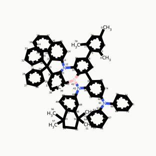 Cc1cc(C)c(-c2cc3c4c(c2)N2c5ccc6ccccc6c5C(c5ccccc5)(c5ccccc5)c5cccc(c52)B4N(c2ccc4c(c2)C(C)(C)CCC4(C)C)c2cc(N(c4ccccc4)c4ccccc4)ccc2-3)c(C)c1